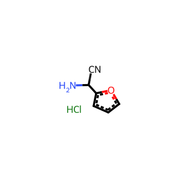 Cl.N#CC(N)c1ccco1